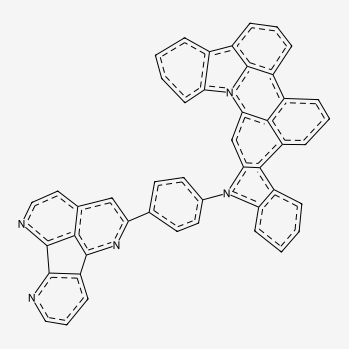 c1cnc2c(c1)-c1nc(-c3ccc(-n4c5ccccc5c5c6cccc7c8cccc9c%10ccccc%10n(c(cc54)c76)c89)cc3)cc3ccnc-2c13